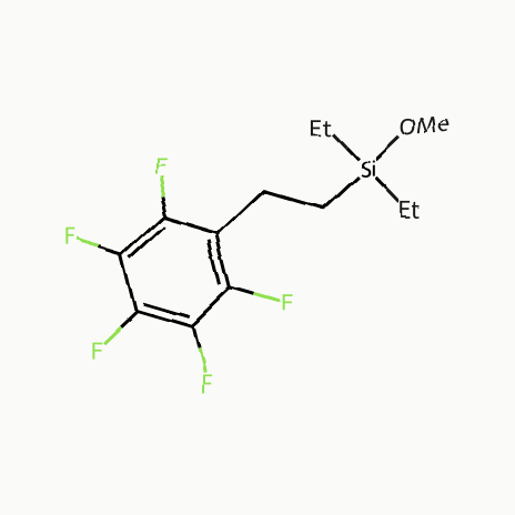 CC[Si](CC)(CCc1c(F)c(F)c(F)c(F)c1F)OC